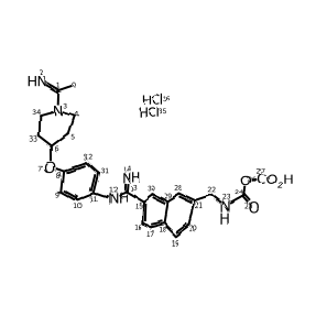 CC(=N)N1CCC(Oc2ccc(NC(=N)c3ccc4ccc(CNC(=O)OC(=O)O)cc4c3)cc2)CC1.Cl.Cl